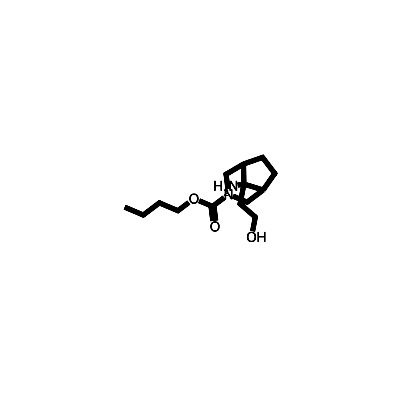 CCCCOC(=O)N1CC2CCC(C1)C2(N)CCO